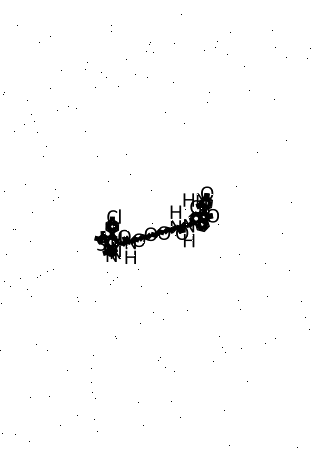 Cc1sc2c(c1C)C(c1ccc(Cl)cc1)=N[C@@H](CC(=O)NCOCCOCCOCCNC(=O)CNC1CCC3c4c(cccc41)C(=O)N3C1CCC(=O)NC1=O)c1nnc(C)n1-2